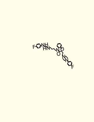 O=C1C(CCN2CCN(c3ccc(F)cc3)CC2)Oc2ccccc2N1CCCCNCCNc1ccc(F)cc1